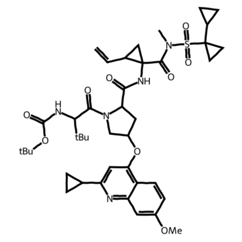 C=CC1CC1(NC(=O)C1CC(Oc2cc(C3CC3)nc3cc(OC)ccc23)CN1C(=O)C(NC(=O)OC(C)(C)C)C(C)(C)C)C(=O)N(C)S(=O)(=O)C1(C2CC2)CC1